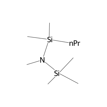 CCC[Si](C)(C)N(C)[Si](C)(C)C